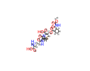 CCOC(=O)NC(=O)c1ccccc1C(=O)OCC1=C(C(=O)O)N2C(=O)[C@@H](NC(=O)CCCC(N)C(=O)O)[C@@H]2SC1